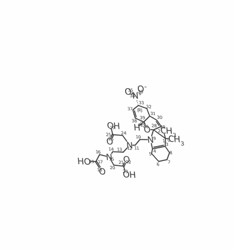 CC1(C)C2=C(CCCC2)N(CCN(CCN(CC(=O)O)CC(=O)O)CC(=O)O)C12C=CC1C[C@@H]([N+](=O)[O-])C=C[C@H]1O2